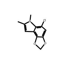 Cc1cc2c3c(cc(Cl)c2n1C)OCO3